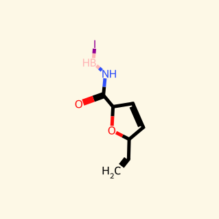 C=CC1C=CC(C(=O)NBI)O1